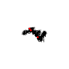 Cc1c(-c2ccc(-c3ccc4c(c3)N(C(=O)Nc3nc5ccccc5s3)CCO4)nc2C(=O)OC(C)(C)C)cnn1CC12CC3(C)CC(C)(C1)CC(OCCO[Si](C)(C)C(C)(C)C)(C3)C2